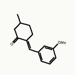 COc1cccc(C=C2CCC(C)CC2=O)c1